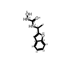 CC(NC(=O)NO)c1cc2ccccc2o1